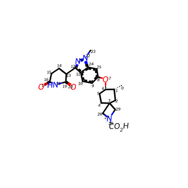 C[C@@H]1CC2(CC[C@H]1Oc1ccc3c(C4CCC(=O)NC4=O)nn(C)c3c1)CN(C(=O)O)C2